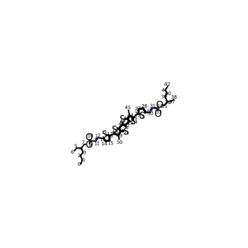 CCCCC(CC)COC(=O)/C=C/c1ccc(-c2sc3c(sc4c5sc(-c6ccc(/C=C/C(=O)OCC(CC)CCCC)s6)c(C)c5sc34)c2C)s1